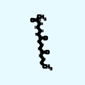 CCCCC(=O)CCCC(=O)CCCCC(C)=O